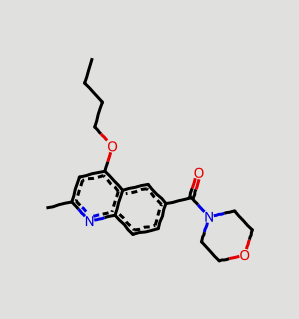 CCCCOc1cc(C)nc2ccc(C(=O)N3CCOCC3)cc12